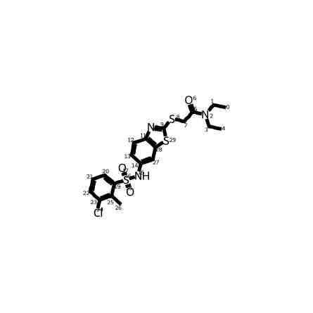 CCN(CC)C(=O)CSc1nc2ccc(NS(=O)(=O)c3cccc(Cl)c3C)cc2s1